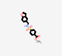 COC(=O)c1ccc(S(=O)(=O)NCc2ccc3occc3c2)cc1